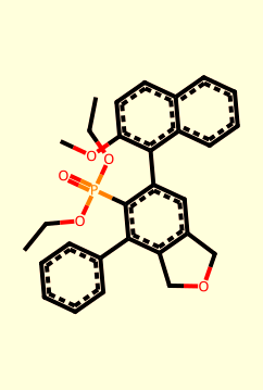 CCOP(=O)(OCC)c1c(-c2c(OC)ccc3ccccc23)cc2c(c1-c1ccccc1)COC2